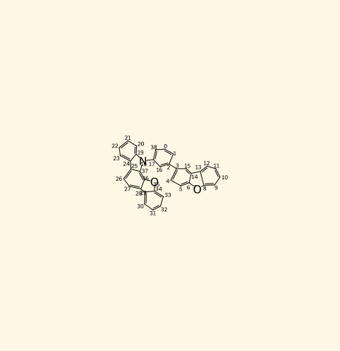 c1cc(-c2ccc3oc4ccccc4c3c2)cc(-n2c3ccccc3c3ccc4c5ccccc5oc4c32)c1